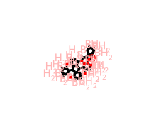 Bc1cc(-c2c(B)c(B)c3oc4c(B)c(B)c(B)c(B)c4c3c2B)c2c(-c3c(B)c(B)c(B)c(B)c3B)c3c(B)c(B)c(B)c(B)c3c(-c3c(B)c(B)c(B)c(B)c3B)c2c1B